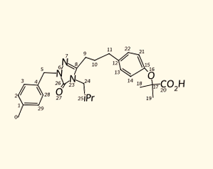 Cc1ccc(Cn2nc(CCCc3ccc(OC(C)(C)C(=O)O)cc3)n(CC(C)C)c2=O)cc1